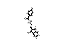 O=C(NNCC=C1C(=O)c2ccccc2C1=O)c1ccc(O)cc1